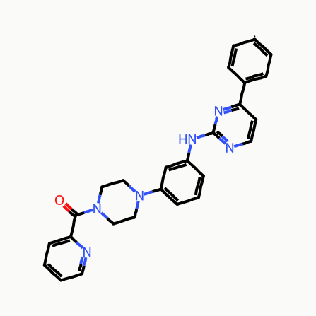 O=C(c1ccccn1)N1CCN(c2cccc(Nc3nccc(-c4cc[c]cc4)n3)c2)CC1